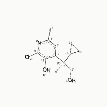 C[C@](CO)(c1cc(I)nc(Cl)c1O)C1CC1